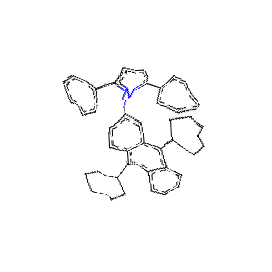 c1ccc(-c2ccc(-c3ccccc3)n2-c2ccc3c(C4CCCCC4)c4ccccc4c(C4CCCCC4)c3c2)cc1